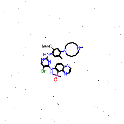 COc1cc(N2CCCCN(C)CCCC2)c(C)cc1Nc1ncc(Br)c(Nc2ccc3nccnc3c2P(C)(C)=O)n1